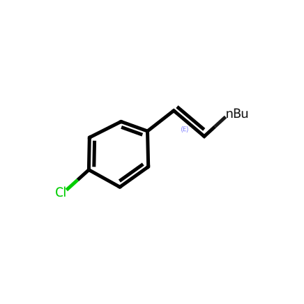 [CH2]CCC/C=C/c1ccc(Cl)cc1